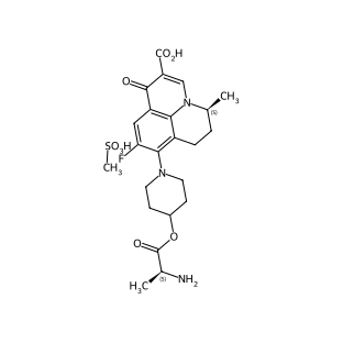 CS(=O)(=O)O.C[C@H](N)C(=O)OC1CCN(c2c(F)cc3c(=O)c(C(=O)O)cn4c3c2CC[C@@H]4C)CC1